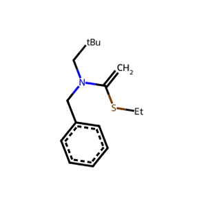 C=C(SCC)N(Cc1ccccc1)CC(C)(C)C